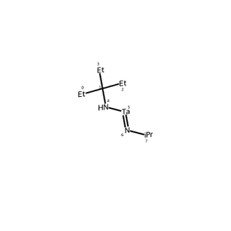 CCC(CC)(CC)[NH]/[Ta]=[N]/C(C)C